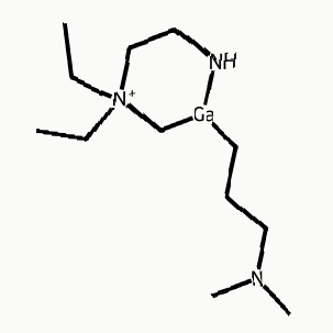 CC[N+]1(CC)CC[NH][Ga]([CH2]CCN(C)C)[CH2]1